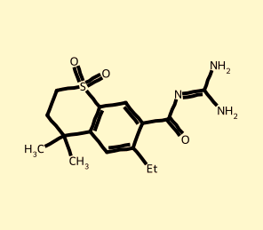 CCc1cc2c(cc1C(=O)N=C(N)N)S(=O)(=O)CCC2(C)C